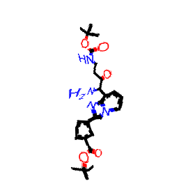 CC(C)(C)OC(=O)NCCC(=O)C(N)c1cccn2cc(-c3cccc(C(=O)OC(C)(C)C)c3)nc12